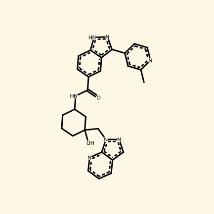 Cc1cc(-c2n[nH]c3ccc(C(=O)NC4CCCC(O)(Cn5ncc6cccnc65)C4)cc23)ccn1